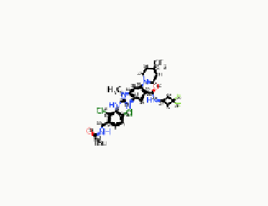 Cn1c(Nc2c(Cl)ccc(CNC(=O)C(C)(C)C)c2Cl)nc2cc(C(=O)NC3CC(F)(F)C3)c(N3CCC(C(F)(F)F)CC3)cc21